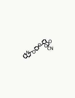 N#Cc1cc(=O)c2cccc(COc3ccc(OCc4ccc5ccccc5n4)cc3)c2o1